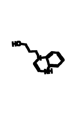 OCCCN1C=CNc2ccccc21